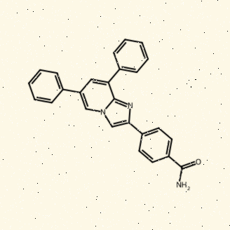 NC(=O)c1ccc(-c2cn3cc(-c4ccccc4)cc(-c4ccccc4)c3n2)cc1